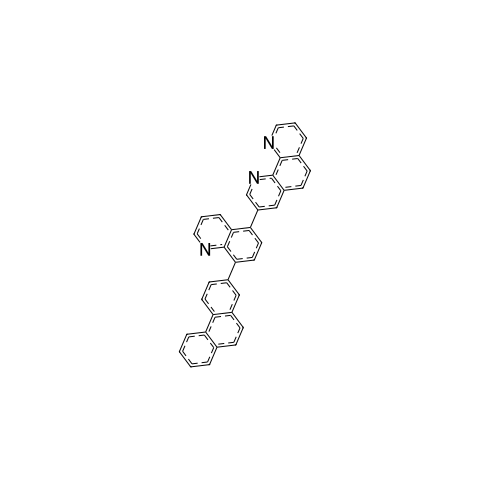 c1ccc2c(c1)ccc1cc(-c3ccc(-c4cnc5c(ccc6cccnc65)c4)c4cccnc34)ccc12